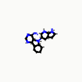 Nc1ncnc2c3ccccc3n(-c3cnc4[nH]ccc4c3)c12